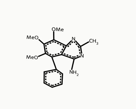 COc1c(OC)c(-c2ccccc2)c2c(N)nc(C)nc2c1OC